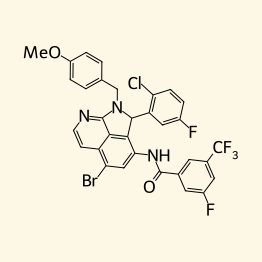 COc1ccc(CN2c3nccc4c(Br)cc(NC(=O)c5cc(F)cc(C(F)(F)F)c5)c(c34)C2c2cc(F)ccc2Cl)cc1